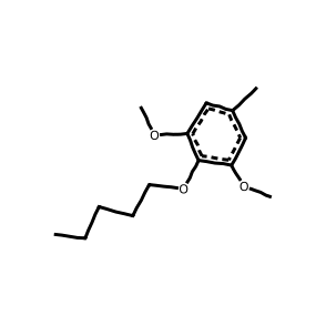 CCCCCOc1c(OC)cc(C)cc1OC